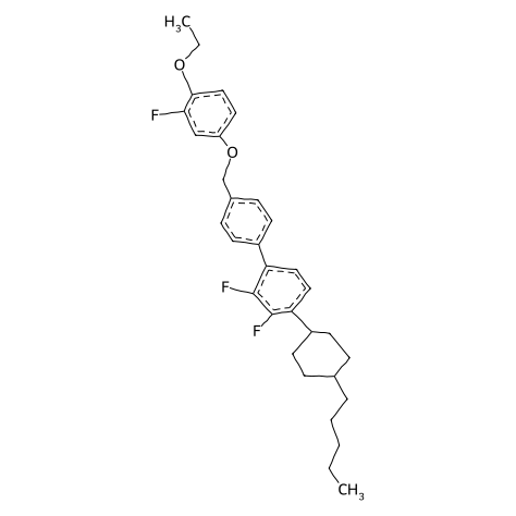 CCCCCC1CCC(c2ccc(-c3ccc(COc4ccc(OCC)c(F)c4)cc3)c(F)c2F)CC1